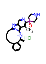 C=C1Nc2nc(nc3cnc(P4(=O)CCNCC4)c(C(F)(F)F)c23)CCCCc2ccccc21.Cl